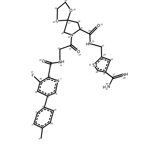 Cc1ccc(-c2cnc(C(=O)NCC(=O)N3CC4(CC3C(=O)NCc3cc(C(=N)N)cs3)OCCO4)c(F)c2)cc1